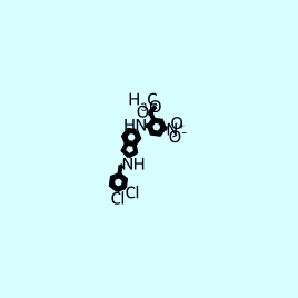 COC(=O)c1cc([N+](=O)[O-])ccc1Nc1ccc2c(c1)CC(NCc1ccc(Cl)c(Cl)c1)C2